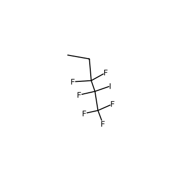 CCC(F)(F)C(F)(I)C(F)(F)F